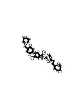 O=C(Nc1nnc(CCC2CCCCO2)s1)[C@H]1CC(=O)N(c2ccc(CN3CCCCC3)cc2)C1